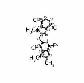 Cc1cc2c(F)cc(Cc3cc4c(Cl)ccc(Cl)c4n3C)c(Cl)c2n1C